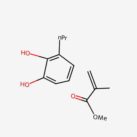 C=C(C)C(=O)OC.CCCc1cccc(O)c1O